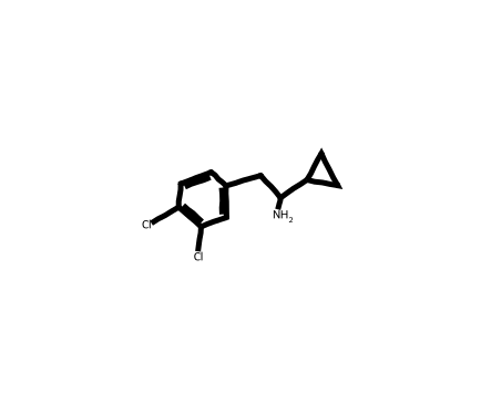 NC(Cc1ccc(Cl)c(Cl)c1)C1CC1